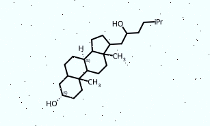 CC(C)CCC(O)CC1CCC2[C@@H]3CCC4C[C@@H](O)CCC4(C)C3CCC12C